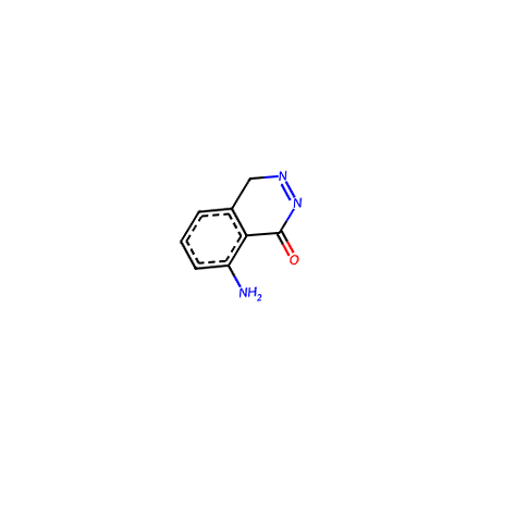 Nc1cccc2c1C(=O)N=NC2